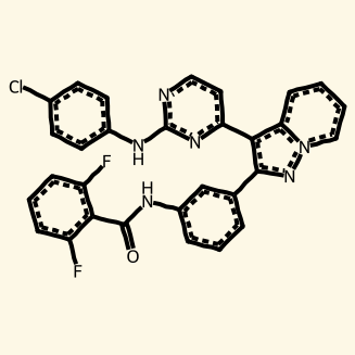 O=C(Nc1cccc(-c2nn3ccccc3c2-c2ccnc(Nc3ccc(Cl)cc3)n2)c1)c1c(F)cccc1F